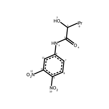 CC(C)C(O)C(=O)Nc1ccc([N+](=O)[O-])c([N+](=O)[O-])c1